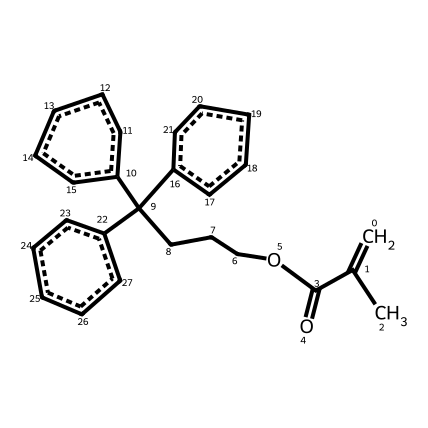 C=C(C)C(=O)OCCCC(c1ccccc1)(c1ccccc1)c1ccccc1